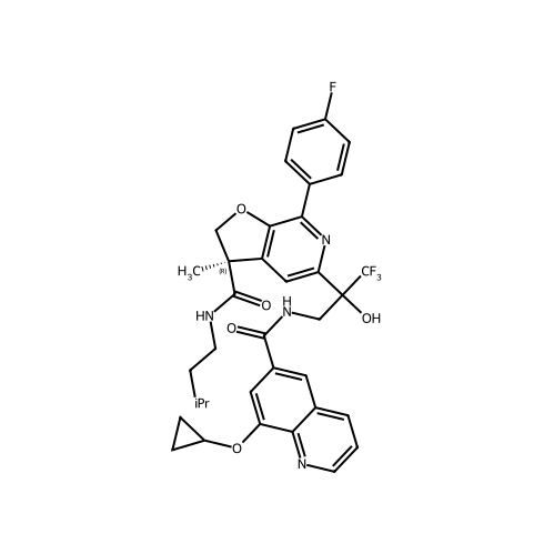 CC(C)CCNC(=O)[C@@]1(C)COc2c1cc(C(O)(CNC(=O)c1cc(OC3CC3)c3ncccc3c1)C(F)(F)F)nc2-c1ccc(F)cc1